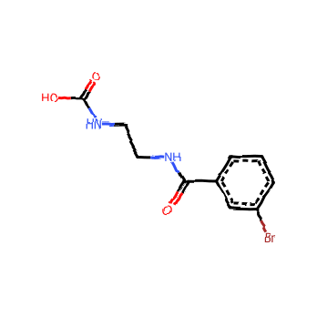 O=C(O)NCCNC(=O)c1cccc(Br)c1